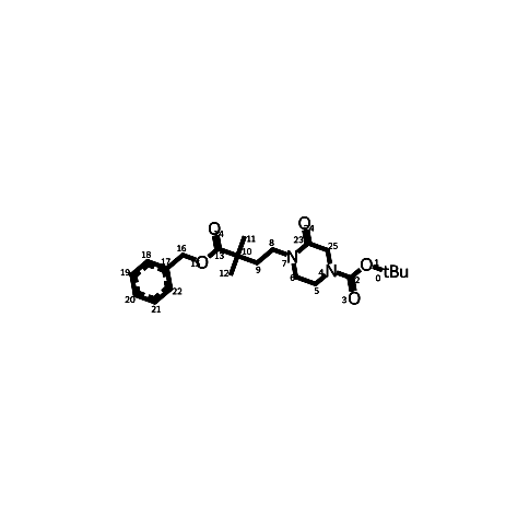 CC(C)(C)OC(=O)N1CCN(CCC(C)(C)C(=O)OCc2ccccc2)C(=O)C1